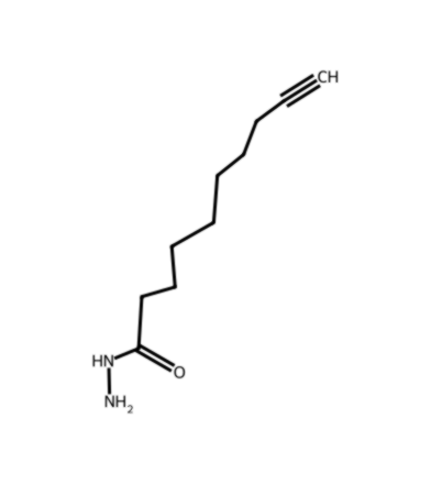 C#CCCCCCCCC(=O)NN